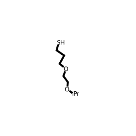 CC(C)OCCOCCCS